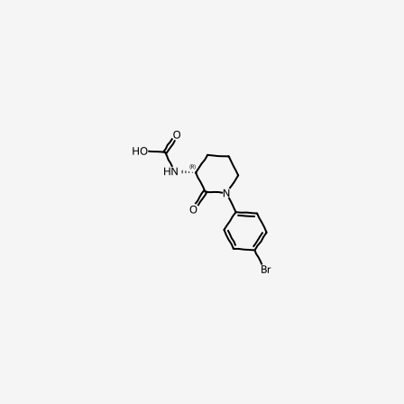 O=C(O)N[C@@H]1CCCN(c2ccc(Br)cc2)C1=O